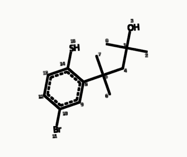 CC(C)(O)CC(C)(C)c1cc(Br)ccc1S